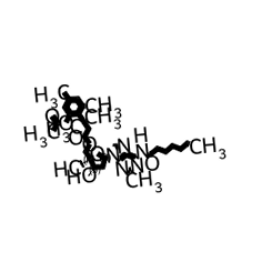 C#C[C@]1(COC(=O)CC(C)(C)c2c(C)cc(C)cc2OC(C)=O)O[C@@H](n2cnc3c(NC(=O)CCCCCC)nc(C)nc32)C[C@@H]1O